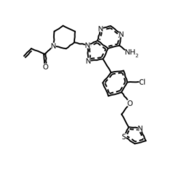 C=CC(=O)N1CCCC(n2nc(-c3ccc(OCc4nccs4)c(Cl)c3)c3c(N)ncnc32)C1